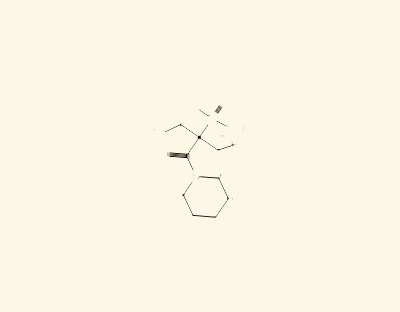 CCC(CC)(C(=O)N1CCCCC1)P(=O)(O)O